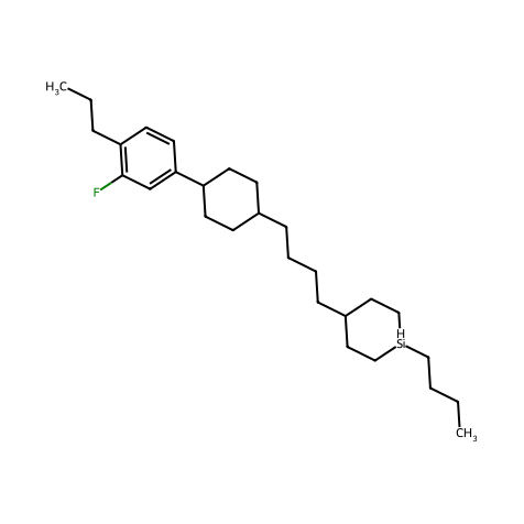 CCCC[SiH]1CCC(CCCCC2CCC(c3ccc(CCC)c(F)c3)CC2)CC1